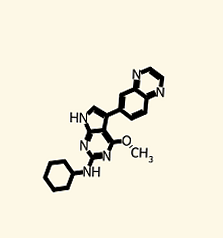 COc1nc(NC2CCCCC2)nc2[nH]cc(-c3ccc4nccnc4c3)c12